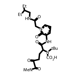 CCC(CC)CNC(=O)Cn1cccc(NC(=O)C(CCC(=O)C(=O)NC)N(C(=O)O)C(C)(C)C)c1=O